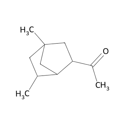 CC(=O)C1CC2(C)CC(C)C1C2